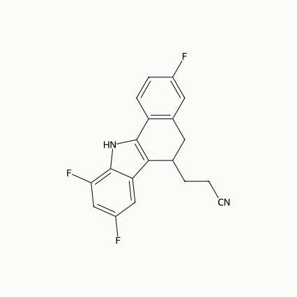 N#CCCC1Cc2cc(F)ccc2-c2[nH]c3c(F)cc(F)cc3c21